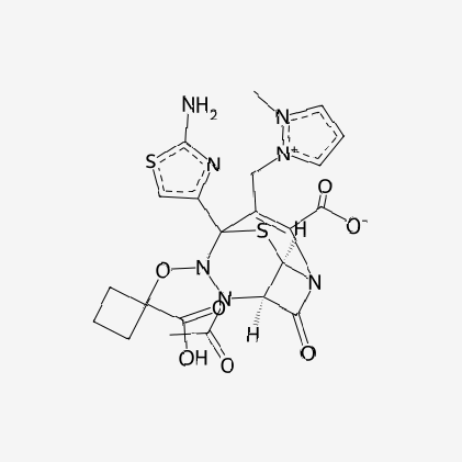 CC(=O)N1[C@@H]2C(=O)N3C(C(=O)[O-])=C(C[n+]4cccn4C)C(c4csc(N)n4)(S[C@H]23)N1OC1(C(=O)O)CCC1